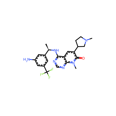 C[C@@H](Nc1ncnc2c1cc(C1CCN(C)C1)c(=O)n2C)c1cc(N)cc(C(F)(F)F)c1